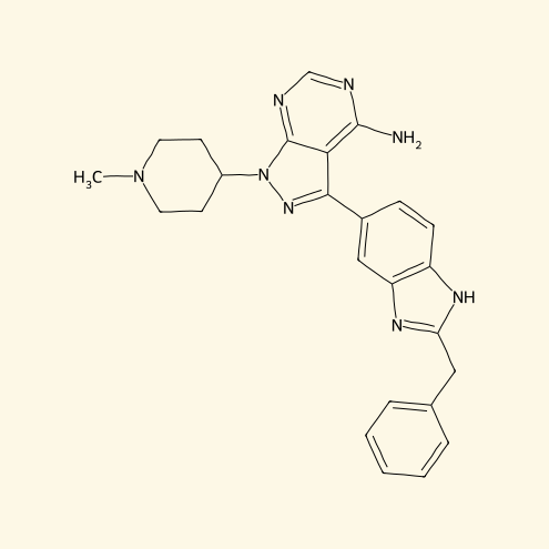 CN1CCC(n2nc(-c3ccc4[nH]c(Cc5ccccc5)nc4c3)c3c(N)ncnc32)CC1